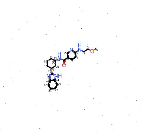 COCCNc1ccc(C(=O)N[C@@H]2CCC[C@H](c3nc4ccccc4[nH]3)C2)cn1